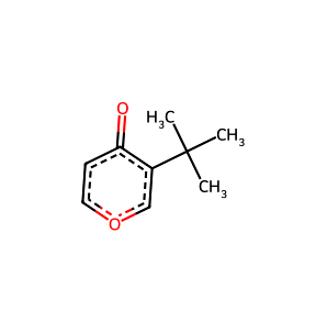 CC(C)(C)c1coccc1=O